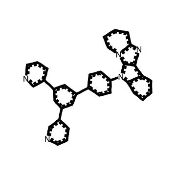 c1cncc(-c2cc(-c3ccc(-n4c5ccccc5c5nc6ccccn6c54)cc3)cc(-c3cccnc3)c2)c1